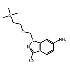 C[Si](C)(C)CCOCn1nc(C#N)c2ccc(N)cc21